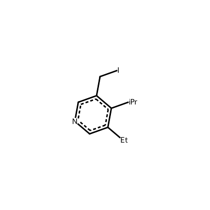 CCc1cncc(CI)c1C(C)C